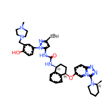 C[C@H]1CCCCN1c1nnc2ccc(O[C@@H]3CC[C@H](NC(=O)Nc4cc(C(C)(C)C)nn4-c4ccc(O)c(CN5CCN(C)CC5)c4)c4ccccc43)cn12